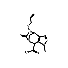 C=CCON1C(=O)N2CC1c1cnn(C)c1C2C(N)=O